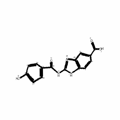 O=C(O)c1ccc2[nH]c(NC(=O)c3ccc(O)cc3)nc2c1